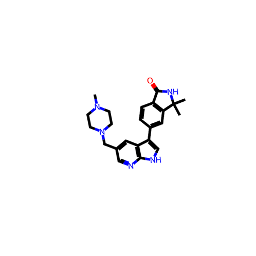 CN1CCN(Cc2cnc3[nH]cc(-c4ccc5c(c4)C(C)(C)NC5=O)c3c2)CC1